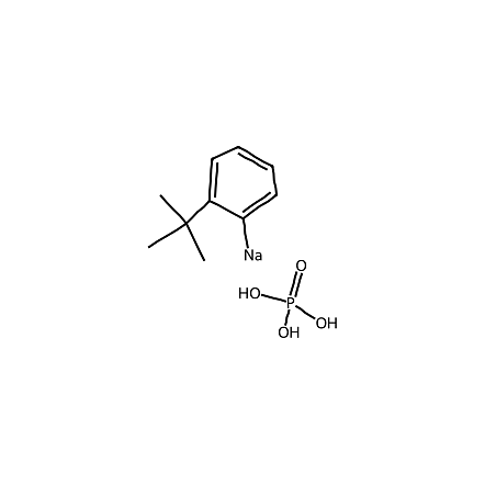 CC(C)(C)c1cccc[c]1[Na].O=P(O)(O)O